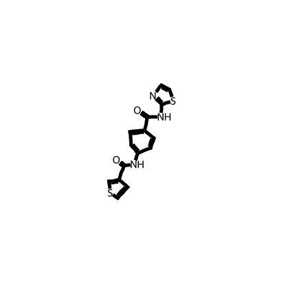 O=C(Nc1ccc(C(=O)Nc2nccs2)cc1)c1ccsc1